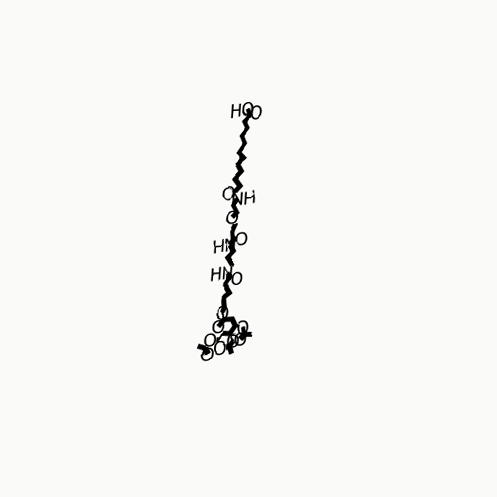 CC(=O)OC[C@H]1O[C@@H](OCCCCC(=O)NCCCNC(=O)CCOCCNC(=O)CCCCCCCCCCC(=O)O)C[C@@H](OC(C)=O)[C@H]1OC(C)=O